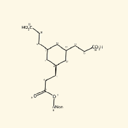 CCCCCCCCCOC(=O)CCC1CC(CCC(=O)O)CC(CCC(=O)O)C1